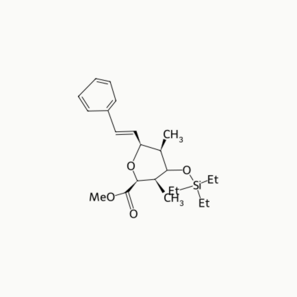 CC[Si](CC)(CC)OC1[C@@H](C)[C@@H](C(=O)OC)O[C@@H](/C=C/c2ccccc2)[C@H]1C